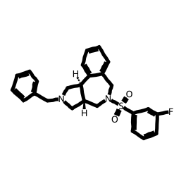 O=S(=O)(c1cccc(F)c1)N1Cc2ccccc2[C@@H]2CN(Cc3ccccc3)C[C@H]2C1